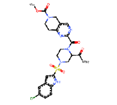 CNC(=O)C1CN(S(=O)(=O)c2cc3cc(Cl)ccc3[nH]2)CCN1C(=O)c1ncc2c(n1)CCN(C(=O)OC(C)(C)C)C2